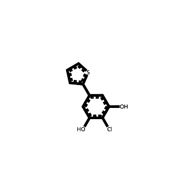 Oc1cc(-c2cccs2)cc(O)c1Cl